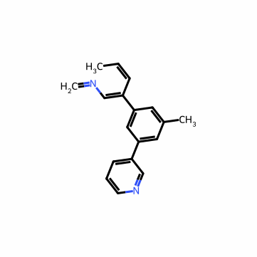 C=N/C=C(\C=C/C)c1cc(C)cc(-c2cccnc2)c1